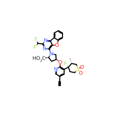 C#Cc1cnc(O[C@H]2C[C@@H](C(=O)O)N(c3nc(C(F)F)nc4c3oc3ccccc34)C2)c([C@]2(F)CCS(=O)(=O)C[C@H]2C)c1